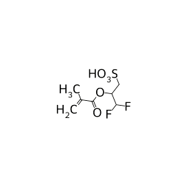 C=C(C)C(=O)OC(CS(=O)(=O)O)C(F)F